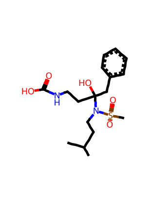 CC(C)CCN(C(O)(CCNC(=O)O)Cc1ccccc1)S(C)(=O)=O